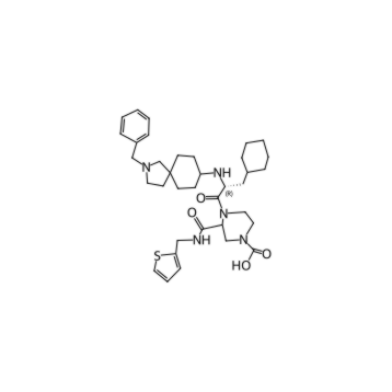 O=C(NCc1cccs1)C1CN(C(=O)O)CCN1C(=O)[C@@H](CC1CCCCC1)NC1CCC2(CC1)CCN(Cc1ccccc1)C2